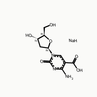 Nc1nc(=O)n([C@H]2C[C@H](O)[C@@H](CO)O2)cc1C(=O)O.[NaH]